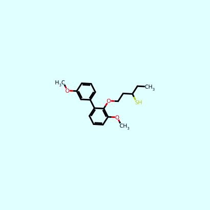 CCC(S)CCOc1c(OC)cccc1-c1cccc(OC)c1